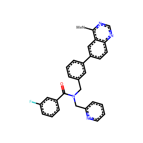 CNc1ncnc2ccc(-c3cccc(CN(Cc4ccccn4)C(=O)c4cccc(F)c4)c3)cc12